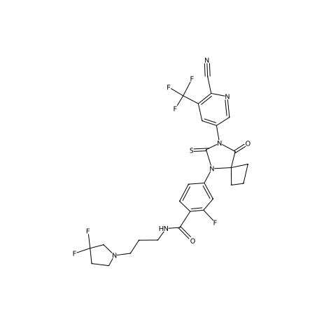 N#Cc1ncc(N2C(=O)C3(CCC3)N(c3ccc(C(=O)NCCCN4CCC(F)(F)C4)c(F)c3)C2=S)cc1C(F)(F)F